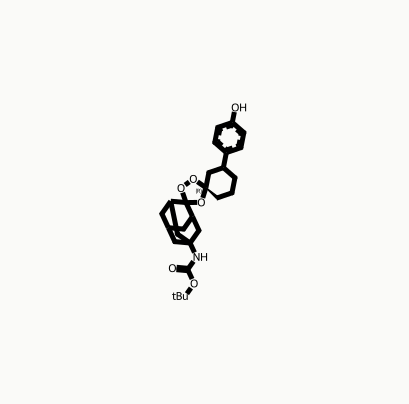 CC(C)(C)OC(=O)NC12CC3CC(C1)C1(OO[C@@]4(CCCC(c5ccc(O)cc5)C4)O1)C(C3)C2